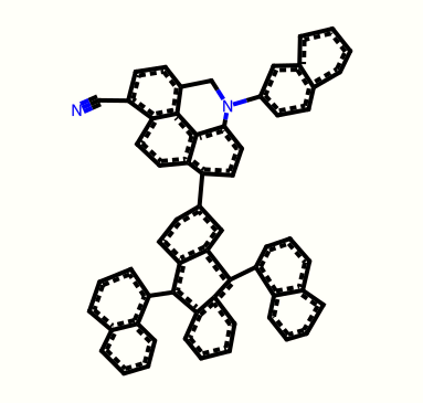 N#Cc1ccc2c3c1ccc1c(-c4ccc5c(-c6cccc7ccccc67)c6ccccc6c(-c6cccc7ccccc67)c5c4)ccc(c13)N(c1ccc3ccccc3c1)C2